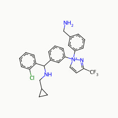 NCc1cccc([N+]2(c3cccc(C(NCC4CC4)c4ccccc4Cl)c3)C=CC(C(F)(F)F)=N2)c1